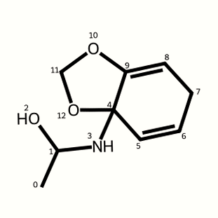 CC(O)NC12C=CCC=C1OCO2